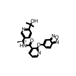 C[C@H](NC(=O)c1cccnc1Oc1ccc2nonc2c1)c1ccc(C(C)(C)O)nc1